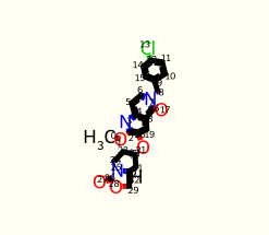 COc1nc2ccn(Cc3ccc(Cl)cc3)c(=O)c2cc1O[C@H]1CCN2C(=O)OC[C@@H]2C1